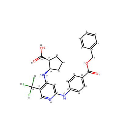 O=C(OCc1ccccc1)c1ccc(Nc2cc(N[C@@H]3CCC[C@@H]3C(=O)O)c(C(F)(F)F)cn2)cc1